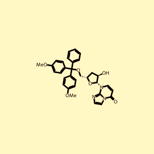 COc1ccc(C(OC[C@@H]2C[C@@H](O)[C@H](n3ccc(=O)n4ccnc34)O2)(c2ccccc2)c2ccc(OC)cc2)cc1